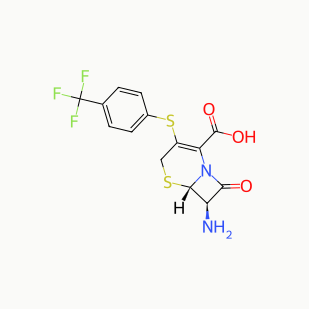 N[C@@H]1C(=O)N2C(C(=O)O)=C(Sc3ccc(C(F)(F)F)cc3)CS[C@@H]12